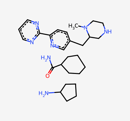 CN1CCNCC1Cc1ccc(-c2ncccn2)nc1.NC(=O)C1CCCCC1.NC1CCCC1